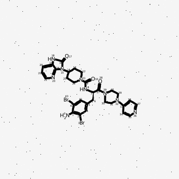 Nc1c(Br)cc(C[C@@H](NC(=O)N2CCC(n3c(=O)[nH]c4cccnc43)CC2)C(=O)N2CCN(c3ccncc3)CC2)cc1Br